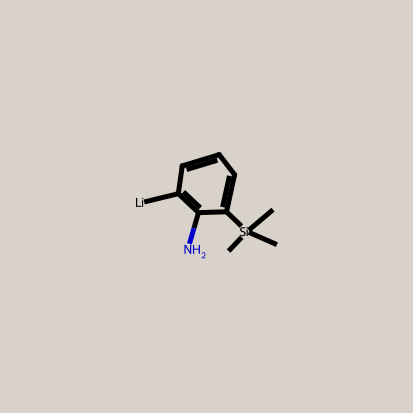 [Li][c]1cccc([Si](C)(C)C)c1N